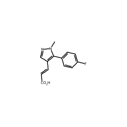 Cn1ncc(C=CC(=O)O)c1-c1ccc(F)cc1